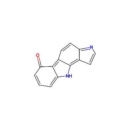 O=C1C=CC=c2[nH]c3c4c(ccc3c21)=NC=C4